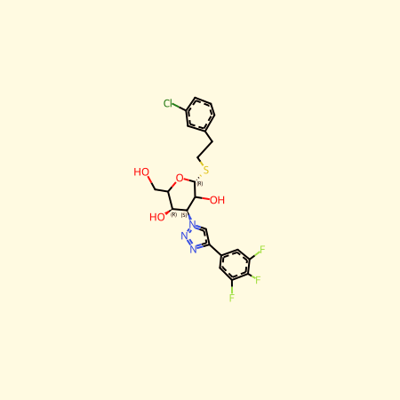 OCC1O[C@H](SCCc2cccc(Cl)c2)C(O)[C@@H](n2cc(-c3cc(F)c(F)c(F)c3)nn2)[C@H]1O